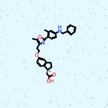 Cc1cc(NCc2ccccc2)ccc1-c1nc(CCOc2ccc3c(c2)CC[C@H]3CC(=O)O)c(C)o1